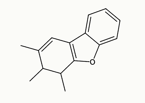 CC1=Cc2c(oc3ccccc23)C(C)C1C